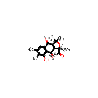 CCc1c(C)cc2c(c1O)C(=O)C1=C(C2=O)C(C)(C)OC1(OC)C(=O)OC